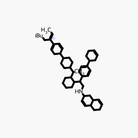 C/C=C(\CC(C)CC)C1=CCC(C2CCC(C(C)C3CCCCC3C(CNC3C=CC4CCC=CC4C3)C3C=CC(C4CC=CCC4)=CC3)CC2)C=C1